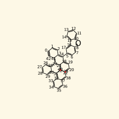 c1ccc2c(-c3ccc4oc5ccccc5c4c3)c3ccccc3c(-c3ccccc3C3=c4ccccc4=CCC3)c2c#1